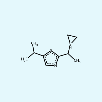 CC(C)c1cnc(C(C)[SH]2CC2)s1